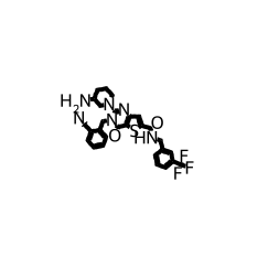 N#Cc1ccccc1Cn1c(N2CCCC(N)C2)nc2cc(C(=O)NCc3cccc(C(F)(F)F)c3)sc2c1=O